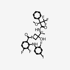 COC(C(=O)N[C@@H](C)C1(O)CN(C(=O)c2ccc(F)c(F)c2Nc2ccc(I)cc2F)C1)(c1ccccc1)C(F)(F)F